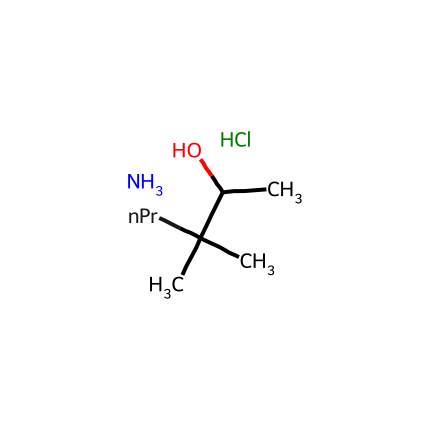 CCCC(C)(C)C(C)O.Cl.N